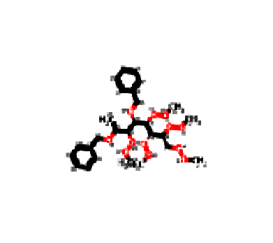 COOC[C@H](OOC)[C@H](OOC)[C@H](OOC)[C@H](OCc1ccccc1)[C@H](OOC)C(C)OCc1ccccc1